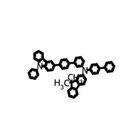 CC1(C)c2ccccc2-c2ccc(N(c3ccc(-c4ccccc4)cc3)c3cccc(-c4ccc(-c5ccc6c(c5)c5ccccc5n6-c5ccccc5)cc4)c3)cc21